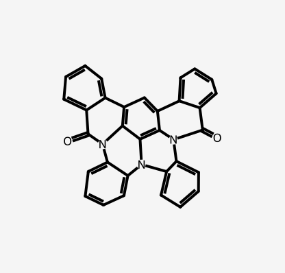 O=c1c2ccccc2c2cc3c4ccccc4c(=O)n4c3c3c2n1-c1ccccc1N3c1ccccc1-4